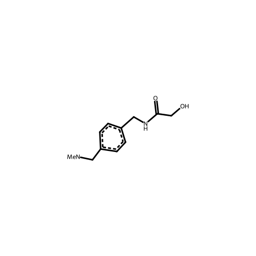 CNCc1ccc(CNC(=O)CO)cc1